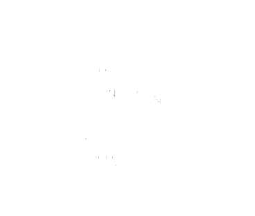 Cc1cc2c(c(Br)c1C)CN(Cc1ccc(C(=O)O)cc1)C2=O